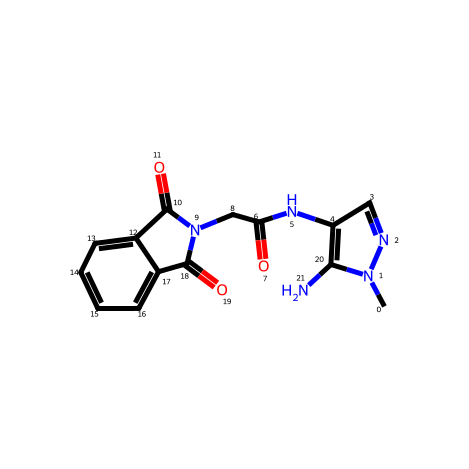 Cn1ncc(NC(=O)CN2C(=O)c3ccccc3C2=O)c1N